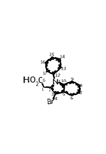 O=C(O)Cc1c(Br)c2ccccc2n1-c1ccccc1